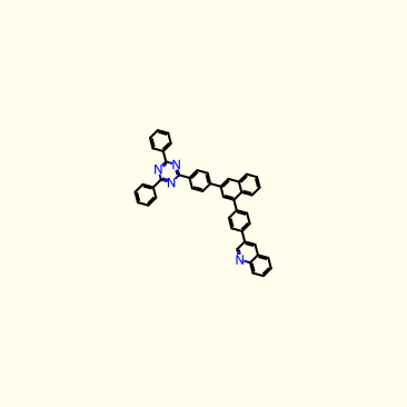 c1ccc(-c2nc(-c3ccccc3)nc(-c3ccc(-c4cc(-c5ccc(-c6cnc7ccccc7c6)cc5)c5ccccc5c4)cc3)n2)cc1